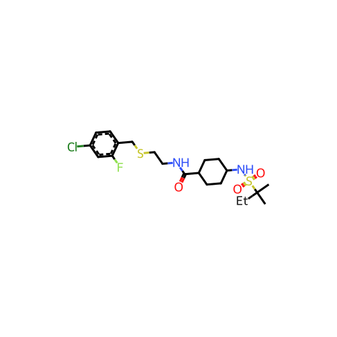 CCC(C)(C)S(=O)(=O)NC1CCC(C(=O)NCCSCc2ccc(Cl)cc2F)CC1